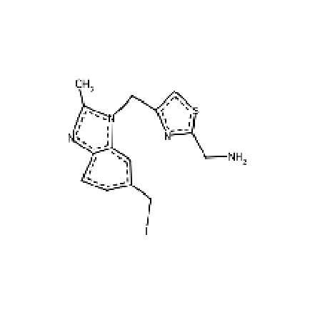 Cc1nc2ccc(CI)cc2n1Cc1csc(CN)n1